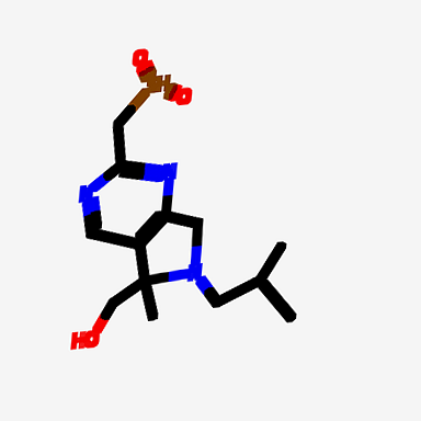 C[C](C)CN1Cc2nc(C[SH](=O)=O)ncc2C1(C)CO